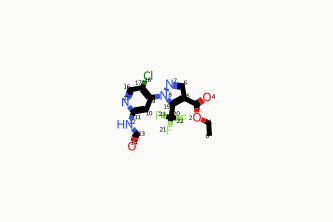 CCOC(=O)c1cnn(-c2cc(NC=O)ncc2Cl)c1C(F)(F)F